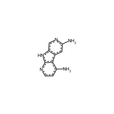 Nc1cc2c(cn1)[nH]c1nccc(N)c12